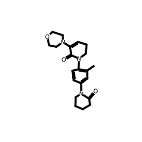 Cc1cc(N2CCCCC2=O)ccc1N1CCC=C(N2CCOCC2)C1=O